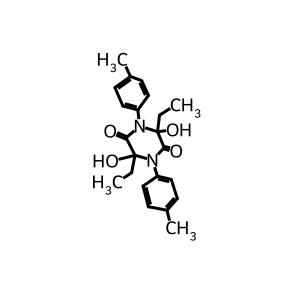 CCC1(O)C(=O)N(c2ccc(C)cc2)C(O)(CC)C(=O)N1c1ccc(C)cc1